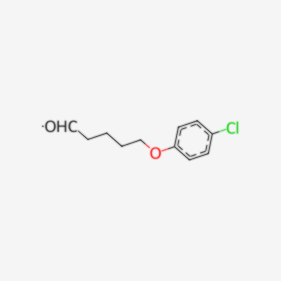 O=[C]CCCCOc1ccc(Cl)cc1